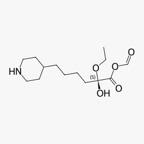 CCO[C@@](O)(CCCCC1CCNCC1)C(=O)OC=O